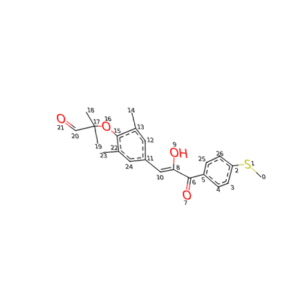 CSc1ccc(C(=O)/C(O)=C/c2cc(C)c(OC(C)(C)C=O)c(C)c2)cc1